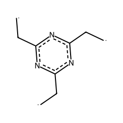 [CH2]Cc1nc(C[CH2])nc(C[CH2])n1